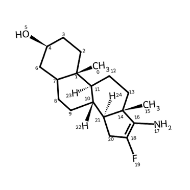 C[C@]12CC[C@H](O)CC1CC[C@@H]1[C@@H]2CC[C@]2(C)C(N)=C(F)C[C@@H]12